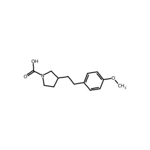 COc1ccc(CCC2CCN(C(=O)O)C2)cc1